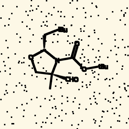 CCC(C)C[C@H]1OC[C@@](C)(C=O)N1C(=O)OC(C)(C)C